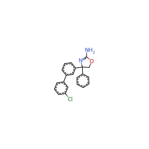 NC1=NC(c2ccccc2)(c2cccc(-c3cccc(Cl)c3)c2)CO1